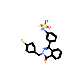 CCS(=O)(=O)Nc1cccc(-c2nn(Cc3ccc(F)cc3)c(=O)c3ccccc23)c1